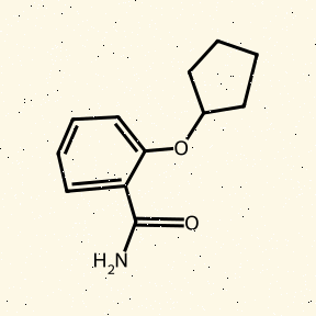 NC(=O)c1ccccc1OC1CCCC1